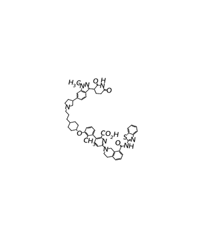 Cc1c(OC2CCC(CCCN3CCC(c4ccc5c(C6CCC(=O)NC6=O)nn(C)c5c4)C3)CC2)cccc1-c1ccc(N2CCc3cccc(C(=O)Nc4nc5ccccc5s4)c3C2)nc1C(=O)O